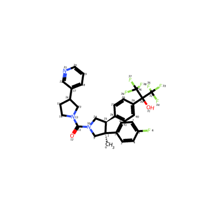 C[C@]1(c2ccc(F)cc2)CN(C(=O)N2CCC(c3cccnc3)C2)C[C@H]1c1ccc(C(O)(C(F)(F)F)C(F)(F)F)cc1